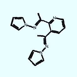 CC(=Nn1cccc1)c1cccnc1C(C)=Nn1cccc1